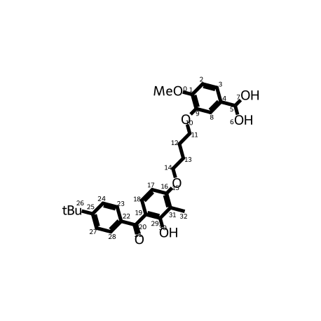 COc1ccc(C(O)O)cc1OCCCCOc1ccc(C(=O)c2ccc(C(C)(C)C)cc2)c(O)c1C